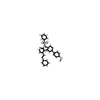 COc1ccc(-c2ccc3c(c2)c2c(C=Cc4ccccc4)ccnc2n3S(=O)(=O)c2ccccc2)cc1